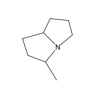 CC1CCC2CCCN12